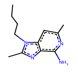 CCCCn1c(C)nc2c(N)nc(C)cc21